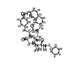 CCCN(C(=O)NCc1ccccc1)N1CC(=O)N2[C@@H](Cc3ccc(O)cc3)C(=O)N(Cc3ccc4cccnc4c3)C[C@@H]21